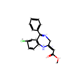 COC(=O)/C=C1/CN=C(c2ccccc2)c2cc(Cl)ccc2N1